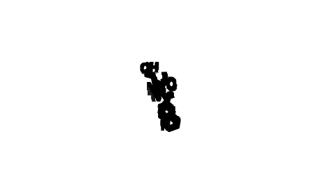 CC(=O)c1c(CCO)nnn1C(C)c1ccc2ncccc2c1